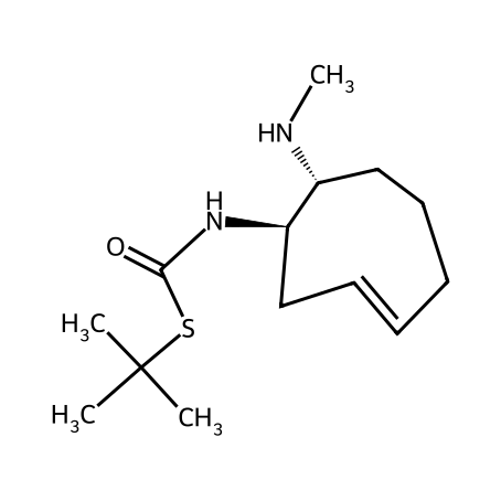 CN[C@@H]1CCC/C=C/C[C@H]1NC(=O)SC(C)(C)C